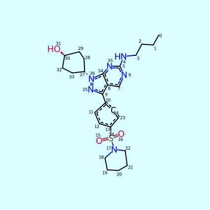 CCCCNc1ncc2c(-c3ccc(S(=O)(=O)N4CCCCC4)cc3)nn([C@H]3CC[C@H](O)CC3)c2n1